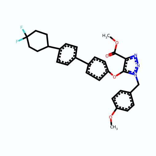 COC(=O)c1nnn(Cc2ccc(OC)cc2)c1Oc1ccc(-c2ccc(C3CCC(F)(F)CC3)cc2)cc1